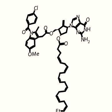 C=C1[C@H](COC(=O)Cc2c(C)n(C(=O)c3ccc(Cl)cc3)c3ccc(OC)cc23)[C@@H](OC(=O)CC/C=C\C/C=C\C/C=C\C/C=C\C/C=C\C/C=C\CC)C[C@@H]1n1cnc2c(=O)[nH]c(N)nc21